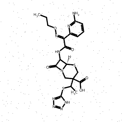 CCCON=C(C(=O)NC1C(=O)N2CC(C(=O)O)(C(C)Sc3nnn[nH]3)CS[C@H]12)c1cccc(N)n1